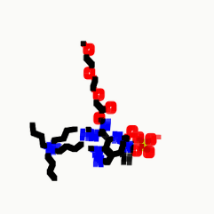 CCCC[N+](CCCC)(CCCC)CCCC.CN/C(=N\OC(=O)COCCOCCOC)[C@@H]1c2c(cnn2C)[C@@H]2CN1C(=O)N2OS(=O)(=O)[O-]